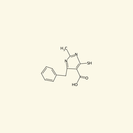 Cc1nc(S)c(C(=O)O)c(Cc2ccccc2)n1